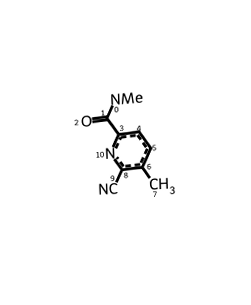 CNC(=O)c1ccc(C)c(C#N)n1